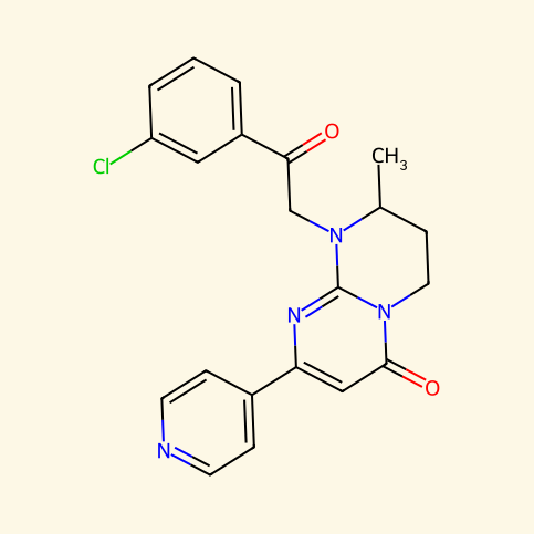 CC1CCn2c(nc(-c3ccncc3)cc2=O)N1CC(=O)c1cccc(Cl)c1